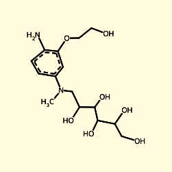 CN(CC(O)C(O)C(O)C(O)CO)c1ccc(N)c(OCCO)c1